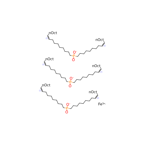 CCCCCCCC/C=C\CCCCCCCCP(=O)([O-])CCCCCCCC/C=C\CCCCCCCC.CCCCCCCC/C=C\CCCCCCCCP(=O)([O-])CCCCCCCC/C=C\CCCCCCCC.CCCCCCCC/C=C\CCCCCCCCP(=O)([O-])CCCCCCCC/C=C\CCCCCCCC.[Fe+3]